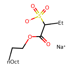 CCCCCCCCCCOC(=O)C(CC)S(=O)(=O)[O-].[Na+]